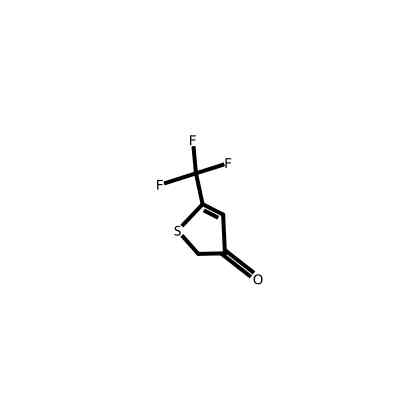 O=C1C=C(C(F)(F)F)SC1